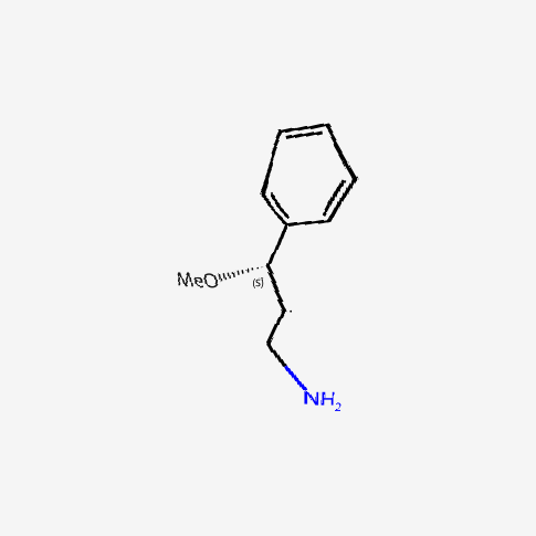 CO[C@@H]([CH]CN)c1ccccc1